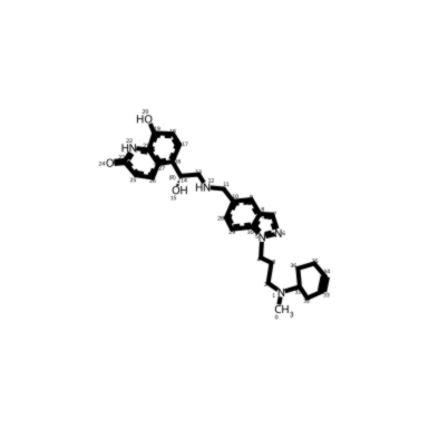 CN(CCCn1ncc2cc(CNC[C@H](O)c3ccc(O)c4[nH]c(=O)ccc34)ccc21)C1CC#CCC1